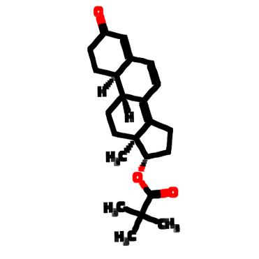 CC(C)(C)C(=O)O[C@H]1CCC2=C3C=CC4=CC(=O)CC[C@@H]4[C@H]3CC[C@@]21C